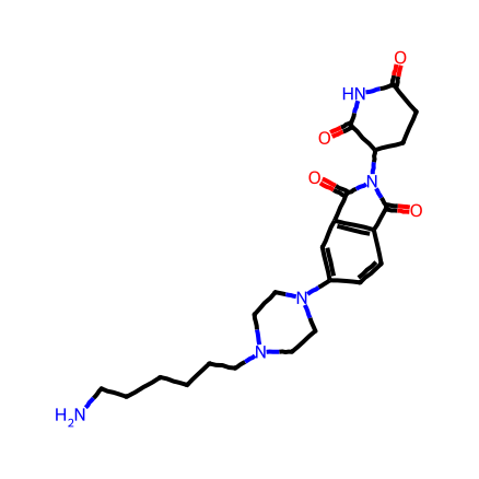 NCCCCCCN1CCN(c2ccc3c(c2)C(=O)N(C2CCC(=O)NC2=O)C3=O)CC1